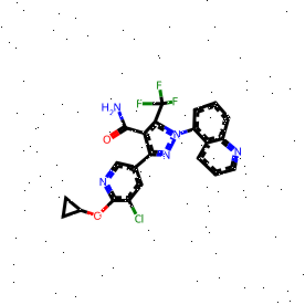 NC(=O)c1c(-c2cnc(OC3CC3)c(Cl)c2)nn(-c2cccc3ncccc23)c1C(F)(F)F